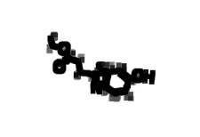 CCOC(=O)CCc1nc2ccc(O)cc2s1